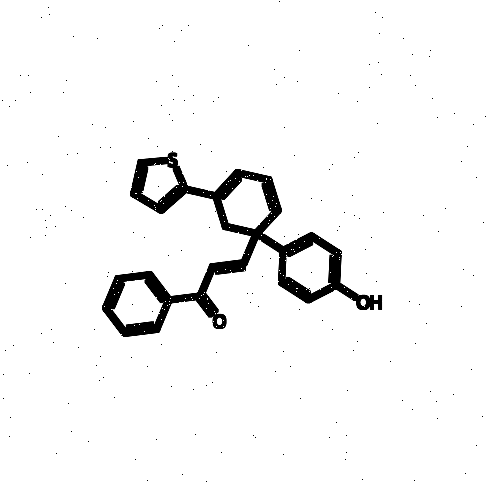 O=C(/C=C/C1(c2ccc(O)cc2)C=CC=C(c2cccs2)C1)c1ccccc1